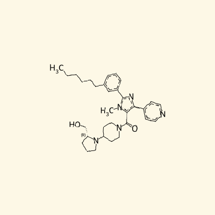 CCCCCCc1cccc(-c2nc(-c3ccncc3)c(C(=O)N3CCC(N4CCC[C@@H]4CO)CC3)n2C)c1